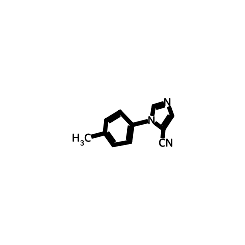 Cc1ccc(-n2cncc2C#N)cc1